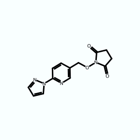 O=C1CCC(=O)N1OCc1ccc(-n2cccn2)nc1